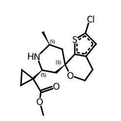 COC(=O)C1([C@@H]2C[C@]3(C[C@H](C)N2)OCCc2cc(Cl)sc23)CC1